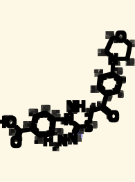 N/N=C(/SCC(=O)c1ccc(N2CCOCC2)cc1)N(N)c1ccc(C(=O)O)cc1